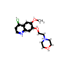 COc1cc2c(Cl)ccnc2cc1OCCN1CCOCC1